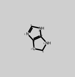 c1nc2c([nH]1)NCO2